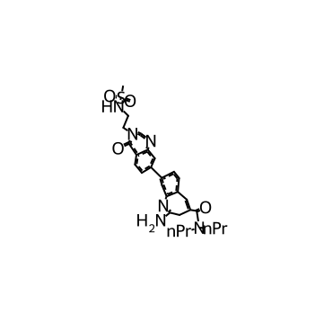 CCCN(CCC)C(=O)C1=Cc2ccc(-c3ccc4c(=O)n(CCNS(C)(=O)=O)cnc4c3)cc2N=C(N)C1